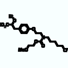 CCOC(Cc1ccc(OCCN(CCCCCC(F)(F)F)C(=O)OCCOC)cc1)C(=O)O